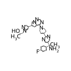 C[C@H](O)Cn1cc(-c2cc3c(N4CC=C(c5ncc(C(C)(N)c6ccc(F)cc6)cn5)CC4)ncnn3c2)cn1